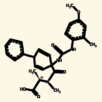 COc1ccc(NC(=O)NC2(C(=O)N(C)[C@@H](C)C(=O)O)C=CC(c3ccccc3)C=C2)c(C)c1